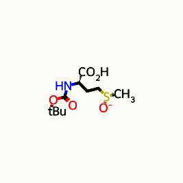 C[S+]([O-])CC[C@H](NC(=O)OC(C)(C)C)C(=O)O